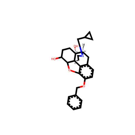 OC1CC[C@@]2(O)[C@H]3Cc4ccc(OCc5ccccc5)c5c4[C@@]2(CCN3CC2CC2)C1O5